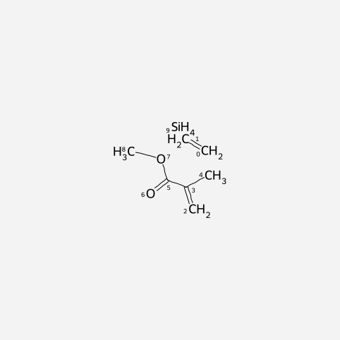 C=C.C=C(C)C(=O)OC.[SiH4]